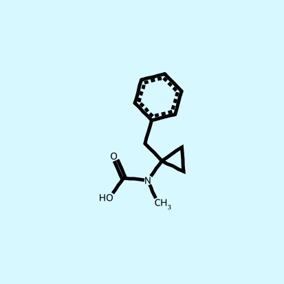 CN(C(=O)O)C1(Cc2ccccc2)CC1